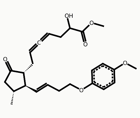 COC(=O)C(O)CC=C=CC[C@H]1C(=O)C[C@@H](C)[C@@H]1/C=C/CCOc1ccc(OC)cc1